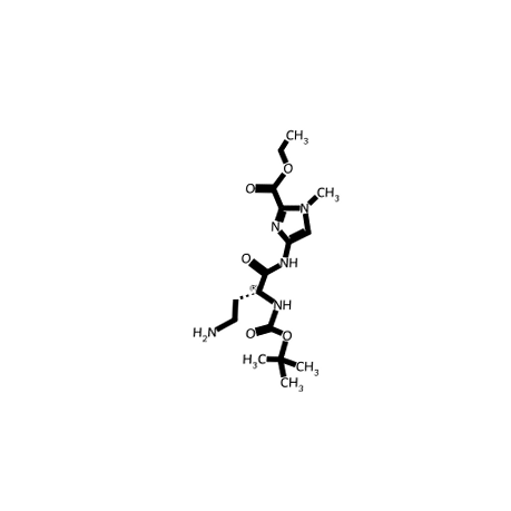 CCOC(=O)c1nc(NC(=O)[C@@H](CCN)NC(=O)OC(C)(C)C)cn1C